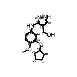 COc1ccc(Nc2n[nH]cc2CO)cc1OC1CCCC1